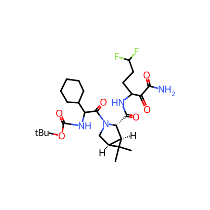 CC(C)(C)OC(=O)NC(C(=O)N1C[C@H]2[C@@H]([C@H]1C(=O)NC(CCC(F)F)C(=O)C(N)=O)C2(C)C)C1CCCCC1